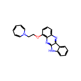 C1=CC=CN(CCOc2cccc3nc4c(nc23)[nH]c2ccccc24)C=C1